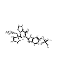 NCC1(C(=O)N2CCCC2C(=O)Nc2nc3ccc(OC(F)(F)F)cc3s2)CCCC1